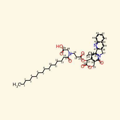 CCCCCCCCCCCCCCCC(=O)N(CCC(=O)O[C@]1(CC)C(=O)OCc2c1cc1n(c2=O)Cc2cc3ccccc3nc2-1)CC(=O)O